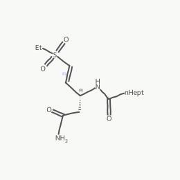 CCCCCCCC(=O)N[C@@H](/C=C/S(=O)(=O)CC)CC(N)=O